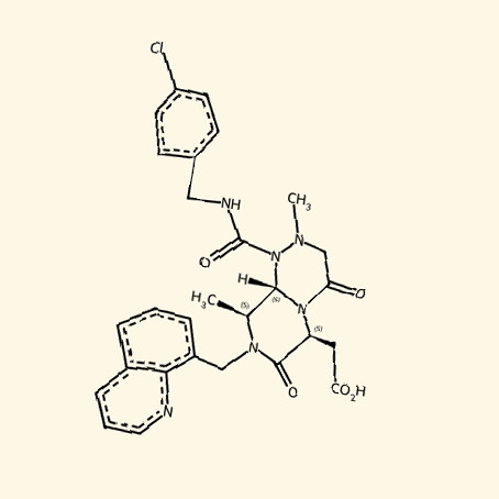 C[C@H]1[C@H]2N(C(=O)CN(C)N2C(=O)NCc2ccc(Cl)cc2)[C@@H](CC(=O)O)C(=O)N1Cc1cccc2cccnc12